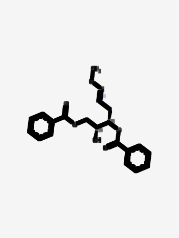 CO/N=C/C[C@H](OC(=O)c1ccccc1)[C@H](O)COC(=O)c1ccccc1